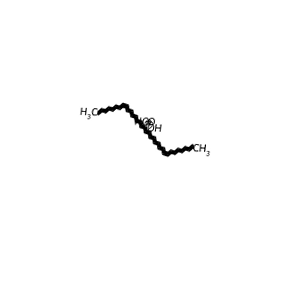 CCCCCCCC/C=C\CCCCCCCCC(CCCCCCC/C=C\CCCCCCCC)P(=O)(O)O